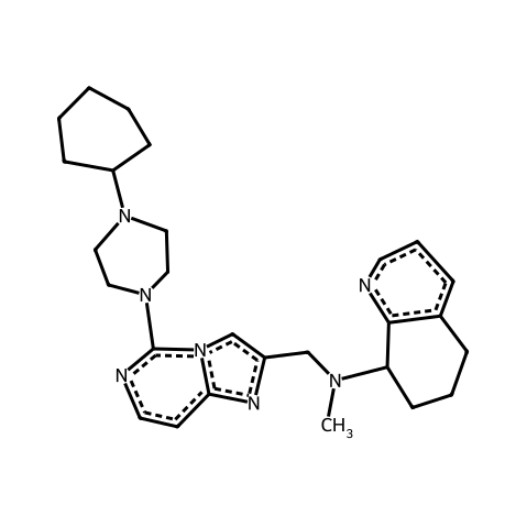 CN(Cc1cn2c(N3CCN(C4CCCCC4)CC3)nccc2n1)C1CCCc2cccnc21